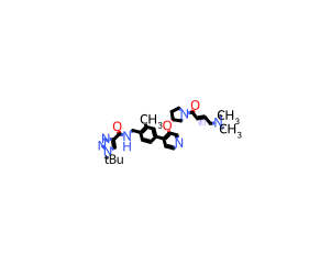 Cc1cc(-c2ccncc2OC2CCN(C(=O)/C=C/CN(C)C)C2)ccc1CNC(=O)c1cn(C(C)(C)C)nn1